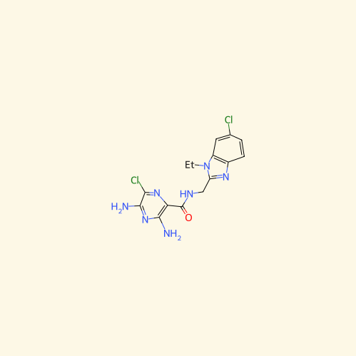 CCn1c(CNC(=O)c2nc(Cl)c(N)nc2N)nc2ccc(Cl)cc21